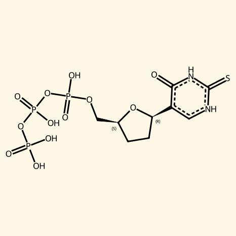 O=c1[nH]c(=S)[nH]cc1[C@H]1CC[C@@H](COP(=O)(O)OP(=O)(O)OP(=O)(O)O)O1